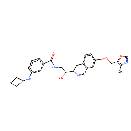 Cc1ncoc1COc1ccc2c(c1)C=NC([C@H](O)CNC(=O)c1cccc(NC3CCC3)c1)C2